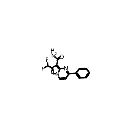 NC(=O)c1c(C(F)F)nn2ccc(-c3ccccc3)nc12